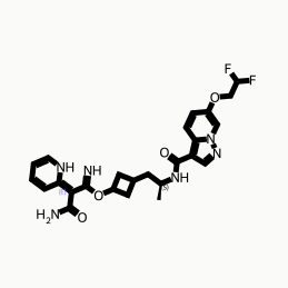 C[C@@H](CC1CC(OC(=N)/C(C(N)=O)=C2/C=CC=CN2)C1)NC(=O)c1cnn2cc(OCC(F)F)ccc12